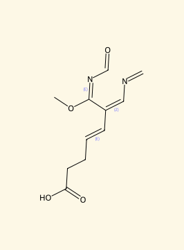 C=N/C=C(/C=C/CCC(=O)O)C(=N/C=O)\OC